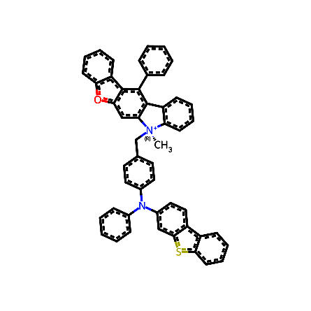 C[N@@+]1(Cc2ccc(N(c3ccccc3)c3ccc4c(c3)sc3ccccc34)cc2)c2ccccc2-c2c1cc1oc3ccccc3c1c2-c1ccccc1